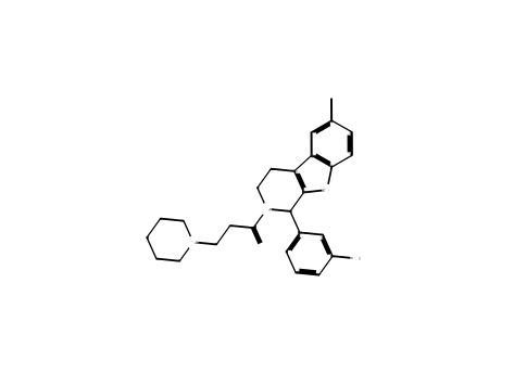 Cc1ccc2[nH]c3c(c2c1)CCN(C(=O)CCN1CCCCC1)C3c1cccc(O)c1